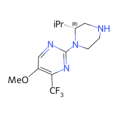 COc1cnc(N2CCNC[C@H]2C(C)C)nc1C(F)(F)F